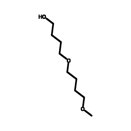 COCCCCOCCCCO